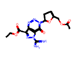 CCOC(=O)c1nn(C(=N)N)c2c(=O)n(C3[CH][CH]C(COC(C)=O)O3)nnc12